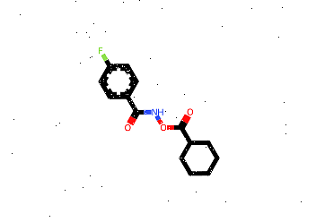 O=C(NOC(=O)C1CCCCC1)c1ccc(F)cc1